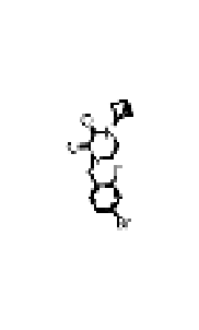 O=C1C(=O)N(C23CC(C2)C3)CCN1Cc1ccc(Br)cc1F